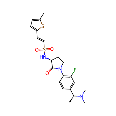 Cc1ccc(/C=C/S(=O)(=O)N[C@H]2CCN(c3ccc([C@H](C)N(C)C)cc3F)C2=O)s1